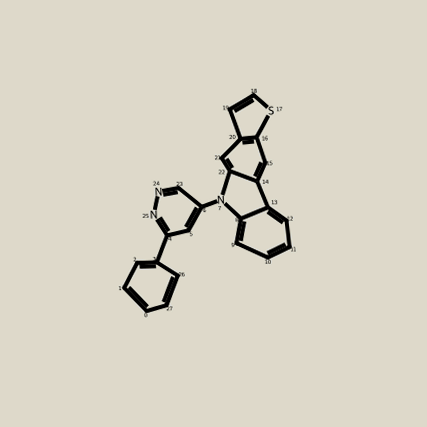 c1ccc(-c2cc(-n3c4ccccc4c4cc5sccc5cc43)cnn2)cc1